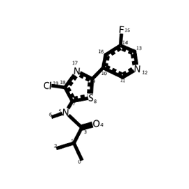 CC(C)C(=O)N(C)c1sc(-c2cncc(F)c2)nc1Cl